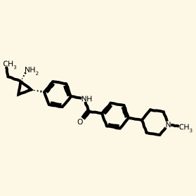 CC[C@]1(N)C[C@H]1c1ccc(NC(=O)c2ccc(C3CCN(C)CC3)cc2)cc1